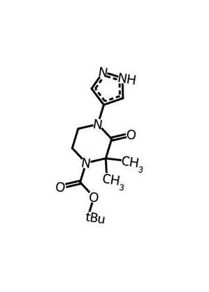 CC(C)(C)OC(=O)N1CCN(c2cn[nH]c2)C(=O)C1(C)C